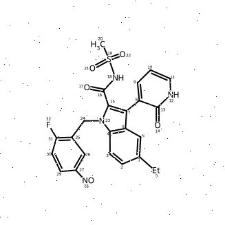 CCc1ccc2c(c1)c(-c1ccc[nH]c1=O)c(C(=O)NS(C)(=O)=O)n2Cc1cc(N=O)ccc1F